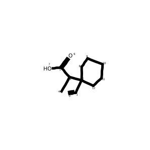 C=CC1(C(C)C(=O)O)CCCCC1